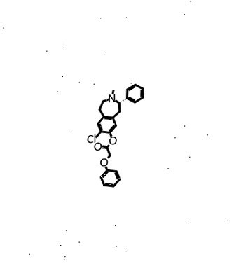 CN1CCc2cc(Cl)c(OC(=O)COc3ccccc3)cc2C[C@H]1c1ccccc1